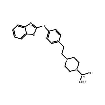 O=C[C@H](O)N1CCN(CCc2ccc(Oc3nc4ccccc4s3)cc2)CC1